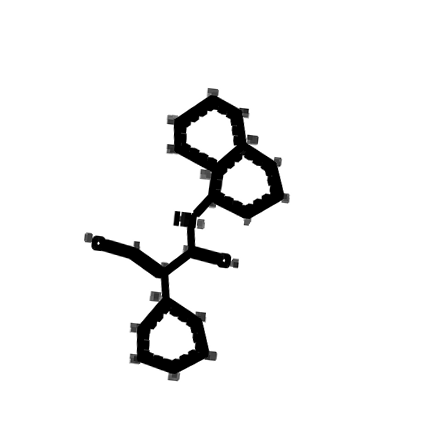 O=C=C(C(=O)Nc1cccc2ccccc12)c1ccccc1